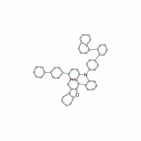 c1ccc(-c2ccc(-c3ccc(N(c4ccc(-c5ccccc5-c5cccc6ccccc56)cc4)c4ccccc4-c4cccc5c4oc4ccccc45)cc3)cc2)cc1